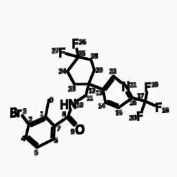 Cc1c(Br)cccc1C(=O)NCC1(c2ccc(C(F)(F)F)nc2)CCC(F)(F)CC1